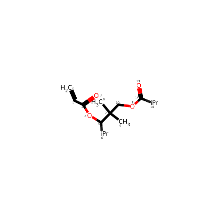 C=CC(=O)OC(C(C)C)C(C)(C)COC(=O)C(C)C